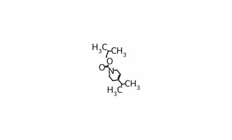 CC(C)COC(=O)N1CC=C(C(C)C)CC1